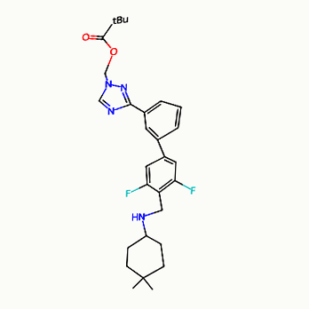 CC1(C)CCC(NCc2c(F)cc(-c3cccc(-c4ncn(COC(=O)C(C)(C)C)n4)c3)cc2F)CC1